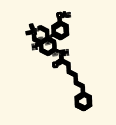 CC(=O)Oc1cccc([C@@]23CC[N+](C)(C)C[C@H]2CC[C@@H](NC(=O)CCCCCc2ccccc2)C3)c1